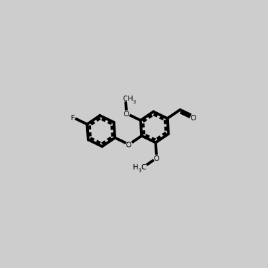 COc1cc(C=O)cc(OC)c1Oc1ccc(F)cc1